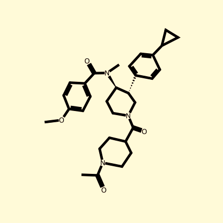 COc1ccc(C(=O)N(C)[C@@H]2CCN(C(=O)C3CCN(C(C)=O)CC3)C[C@H]2c2ccc(C3CC3)cc2)cc1